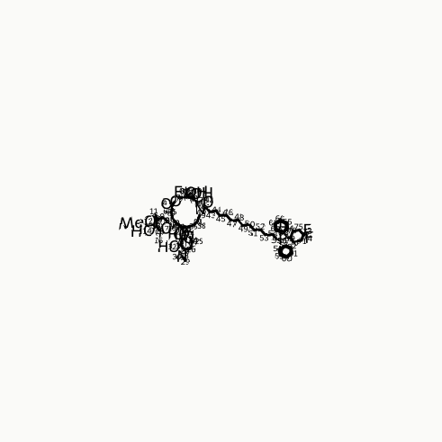 CC[C@H]1OC(=O)[C@H](C)C([C@H]2C[C@@](C)(OC)[C@@H](O)[C@H](C)O2)[C@H](C)[C@@H](O[C@@H]2O[C@H](C)C[C@H](N(C)C)[C@H]2O)[C@](C)(O)C[C@@H](C)CN(C(=O)CCCCCCCCCCCCC[PH](c2ccccc2)(c2ccccc2)C2CCC(F)(F)CC2)[C@H](C)[C@@H](O)[C@]1(C)O